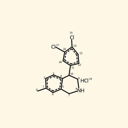 Cc1ccc2c(c1)CNCC2c1ccc(Cl)c(Cl)c1.Cl